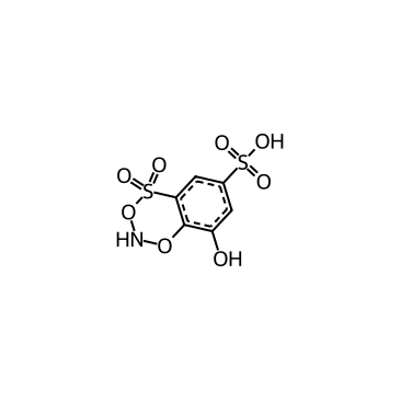 O=S(=O)(O)c1cc(O)c2c(c1)S(=O)(=O)ONO2